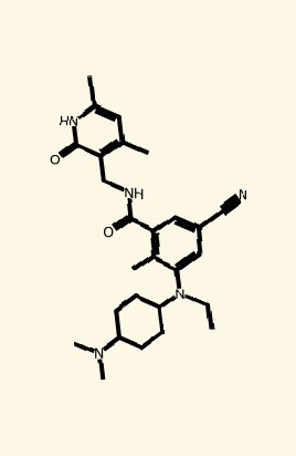 CCN(c1cc(C#N)cc(C(=O)NCc2c(C)cc(C)[nH]c2=O)c1C)C1CCC(N(C)C)CC1